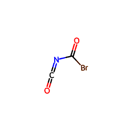 O=C=NC(=O)Br